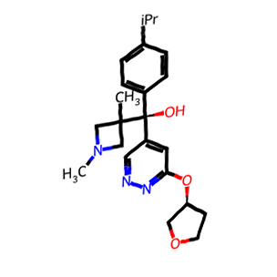 CC(C)c1ccc([C@](O)(c2cnnc(O[C@H]3CCOC3)c2)C2(C)CN(C)C2)cc1